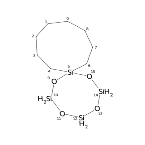 C1CCCC[Si]2(CCC1)O[SiH2]O[SiH2]O[SiH2]O2